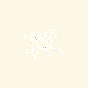 COC(=O)c1cc(S(=O)(=O)C(C)C)c(SC)s1.CSc1sc(C(=N)N)cc1S(=O)(=O)C(C)C